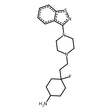 NC1CCC(F)(CCN2CCN(c3nsc4ccccc34)CC2)CC1